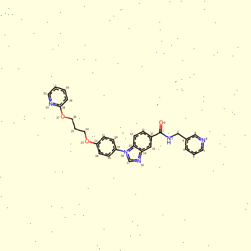 O=C(NCc1cccnc1)c1ccc2c(c1)ncn2-c1ccc(OCCCOc2ccccn2)cc1